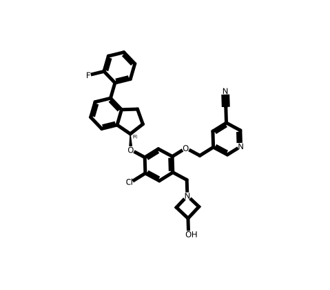 N#Cc1cncc(COc2cc(O[C@@H]3CCc4c(-c5ccccc5F)cccc43)c(Cl)cc2CN2CC(O)C2)c1